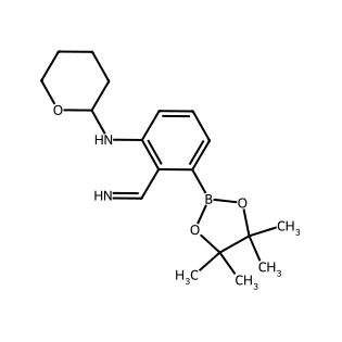 CC1(C)OB(c2cccc(NC3CCCCO3)c2C=N)OC1(C)C